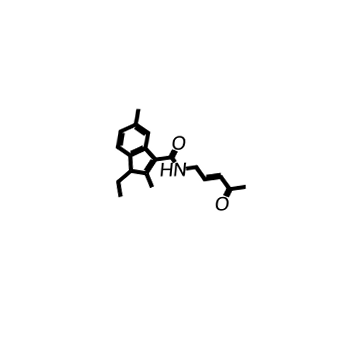 CCC1C(C)=C(C(=O)NC/C=C/C(C)=O)c2cc(C)ccc21